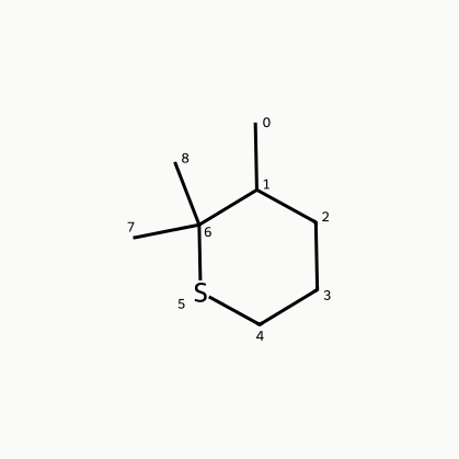 CC1CCCSC1(C)C